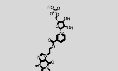 Cn1c(=O)c2c(ncn2CCOC(=O)c2ccc[n+]([C@@H]3O[C@H](COP(=O)([O-])O)[C@@H](O)[C@H]3O)c2)n(C)c1=O